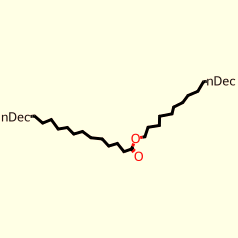 CCCCCCCCCCCCCCCCCCCCCCC(=O)OCCCCCCCCCCCCCCCCCCCC